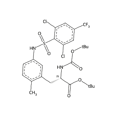 Cc1ccc(NS(=O)(=O)c2c(Cl)cc(C(F)(F)F)cc2Cl)cc1C[C@H](NC(=O)OC(C)(C)C)C(=O)OC(C)(C)C